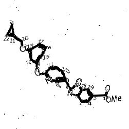 COC(=O)c1ccc2nc(-c3ccc(Oc4cccc(OCC5CC5)c4)nc3)oc2c1